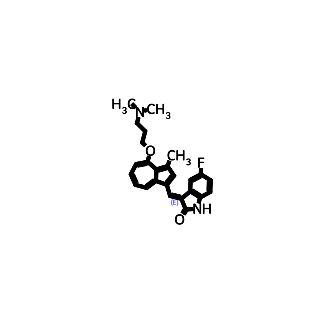 Cc1cc(/C=C2/C(=O)Nc3ccc(F)cc32)c2ccccc(OCCCN(C)C)c1-2